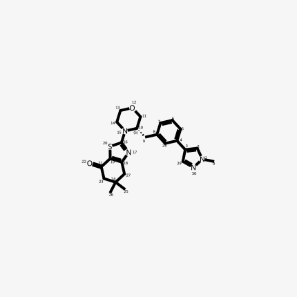 Cn1cc(-c2cccc(C[C@H]3COCCN3c3nc4c(s3)C(=O)CC(C)(C)C4)c2)cn1